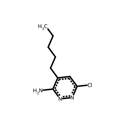 CCCCCc1cc(Cl)nnc1N